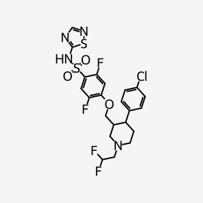 O=S(=O)(Nc1ncns1)c1cc(F)c(OCC2CN(CC(F)F)CCC2c2ccc(Cl)cc2)cc1F